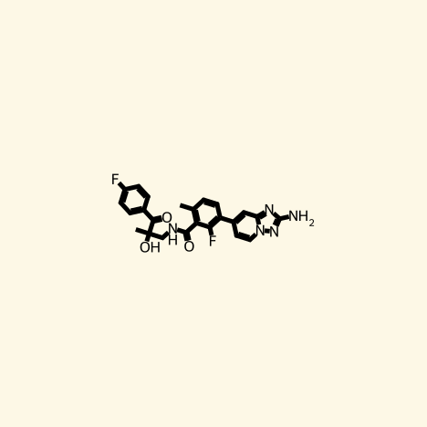 Cc1ccc(-c2ccn3nc(N)nc3c2)c(F)c1C(=O)NCC(C)(O)C(=O)c1ccc(F)cc1